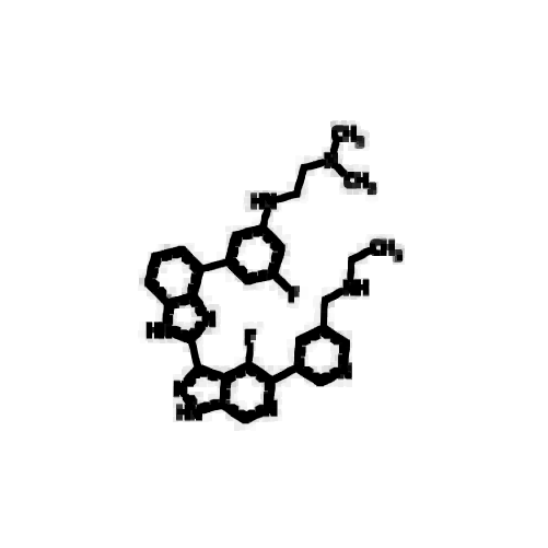 CCNCc1cncc(-c2ncc3[nH]nc(-c4nc5c(-c6cc(F)cc(NCCN(C)C)c6)cccc5[nH]4)c3c2F)c1